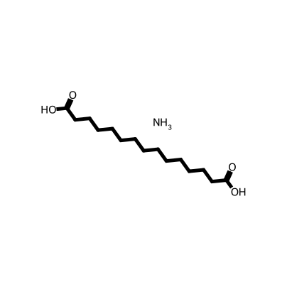 N.O=C(O)CCCCCCCCCCCCCC(=O)O